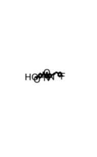 O=C(O)c1ccc(Cn2cnc3cnc(C#CCc4ccc(F)cc4)cc3c2=O)cc1